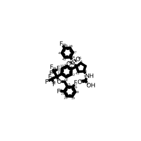 O=C(O)NC1CCC(c2ccc(C(OCc3c(F)cccc3F)(C(F)(F)F)C(F)(F)F)cc2)(S(=O)(=O)c2ccc(F)cc2)C1